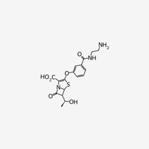 C[C@H](O)C1C(=O)N2C(C(=O)O)=C(Oc3cccc(C(=O)NCCN)c3)SC12